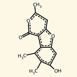 Cc1cc2oc3cc(O)c(C)c(C)c3c2c(=O)o1